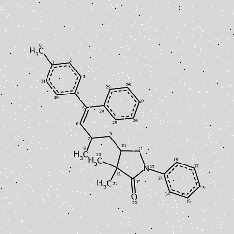 Cc1ccc(C(=CC(C)CC2CN(c3ccccc3)C(=O)C2(C)C)c2ccccc2)cc1